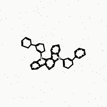 C1=CCC(C2=CCCC(n3c4ccccc4c4ccc5c(c6ccccc6n5C5=CCCC(c6ccccc6)=C5)c43)=C2)C=C1